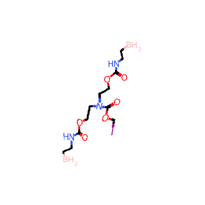 BCCNC(=O)OCCN(CCOC(=O)NCCB)C(=O)OCI